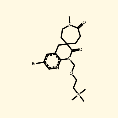 CN1CCC2(CCC1=O)Cc1cc(Br)cnc1N(COCC[Si](C)(C)C)C2=O